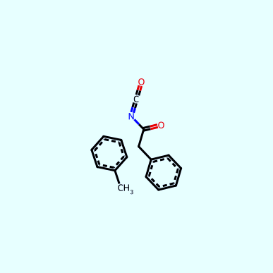 Cc1ccccc1.O=C=NC(=O)Cc1ccccc1